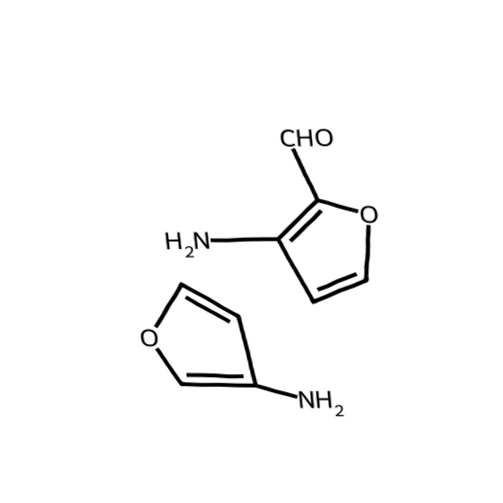 Nc1ccoc1.Nc1ccoc1C=O